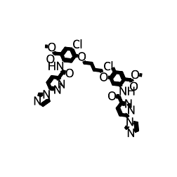 COC(=O)c1cc(Cl)c(OCCCCOc2cc(NC(=O)c3ccc(-n4ccnc4)nn3)c(C(=O)OC)cc2Cl)cc1NC(=O)c1ccc(-n2ccnc2)nn1